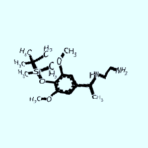 COc1cc(C(C)NCCN)cc(OC)c1O[Si](C)(C)C(C)(C)C